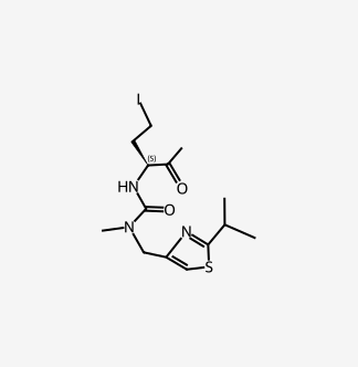 CC(=O)[C@H](CCI)NC(=O)N(C)Cc1csc(C(C)C)n1